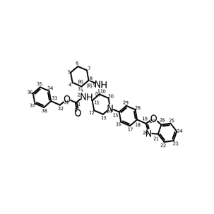 O=C(N[C@@H]1CCCC[C@H]1N[C@H]1CCCN(c2ccc(-c3nc4ccccc4o3)cc2)C1)OCc1ccccc1